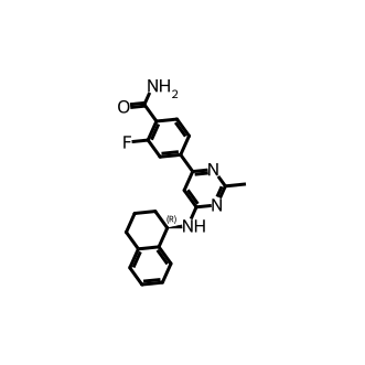 Cc1nc(N[C@@H]2CCCc3ccccc32)cc(-c2ccc(C(N)=O)c(F)c2)n1